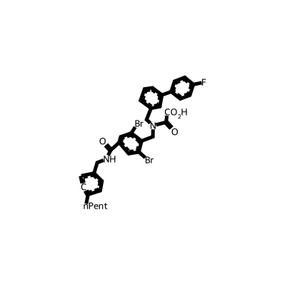 CCCCCc1ccc(CNC(=O)c2cc(Br)c(CN(Cc3cccc(-c4ccc(F)cc4)c3)C(=O)C(=O)O)c(Br)c2)cc1